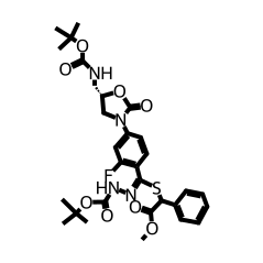 COC(=O)C(SC(=NNC(=O)OC(C)(C)C)c1ccc(N2C[C@H](CNC(=O)OC(C)(C)C)OC2=O)cc1F)c1ccccc1